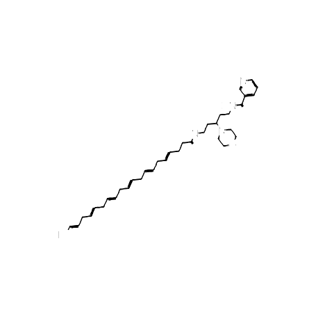 CCC=CCC=CCC=CCC=CCC=CCC=CCCC(=O)NCCC(CCNC(=O)c1cccnc1)N1CCOCC1